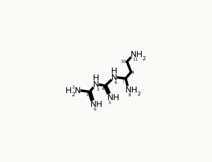 N=C(N)NC(=N)NC(N)CCN